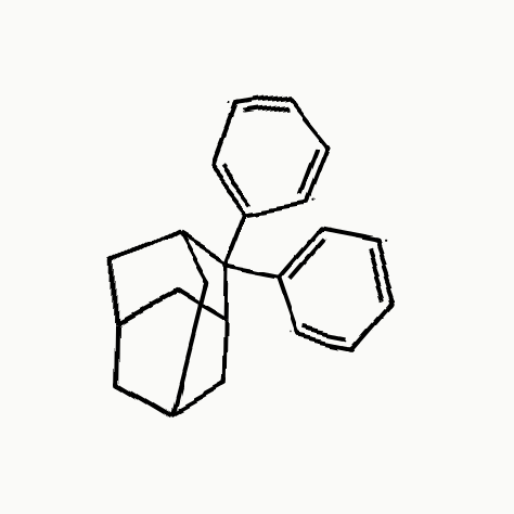 [c]1cc[c]c(C2(c3[c]cc[c]c3)C3CC4CC(C3)CC2C4)c1